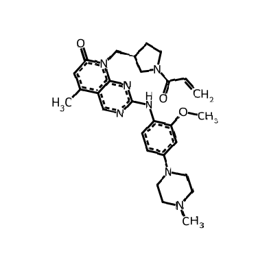 C=CC(=O)N1CC[C@H](Cn2c(=O)cc(C)c3cnc(Nc4ccc(N5CCN(C)CC5)cc4OC)nc32)C1